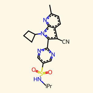 Cc1ccc2c(C#N)c(-c3ncc(S(=O)(=O)NC(C)C)cn3)n(C3CCC3)c2n1